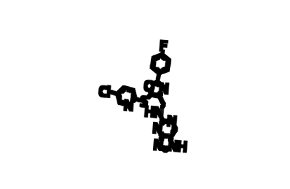 Fc1ccc(-c2nc(CNc3ncc4[nH]cnc4n3)c(Sc3ccc(Cl)cn3)o2)cc1